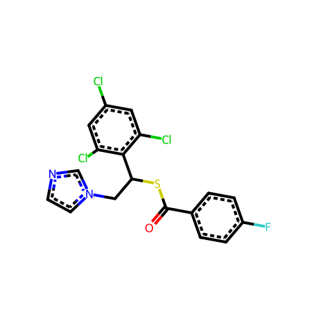 O=C(SC(Cn1ccnc1)c1c(Cl)cc(Cl)cc1Cl)c1ccc(F)cc1